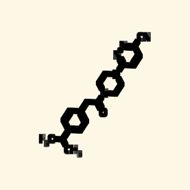 CC(c1ccc(CC(=O)N2CCN(c3ccc(C#N)nn3)CC2)cc1)C(F)(F)F